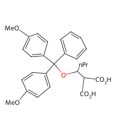 [CH2]CCC(OC(c1ccccc1)(c1ccc(OC)cc1)c1ccc(OC)cc1)C(C(=O)O)C(=O)O